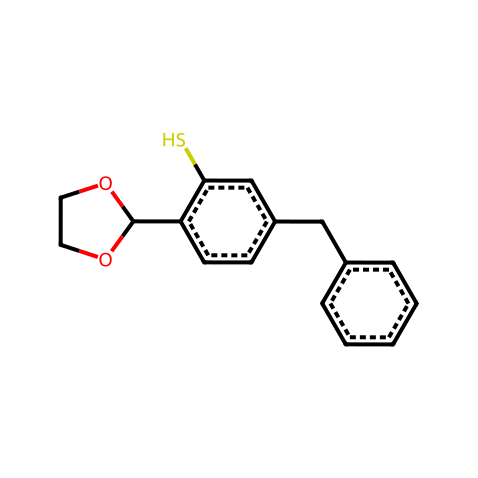 Sc1cc(Cc2ccccc2)ccc1C1OCCO1